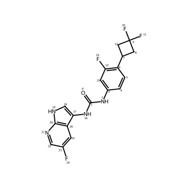 O=C(Nc1ccc(C2CC(F)(F)C2)c(F)c1)Nc1c[nH]c2ncc(F)cc12